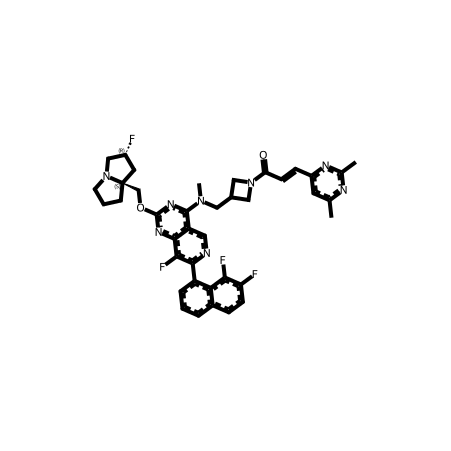 Cc1cc(C=CC(=O)N2CC(CN(C)c3nc(OC[C@@]45CCCN4C[C@H](F)C5)nc4c(F)c(-c5cccc6ccc(F)c(F)c56)ncc34)C2)nc(C)n1